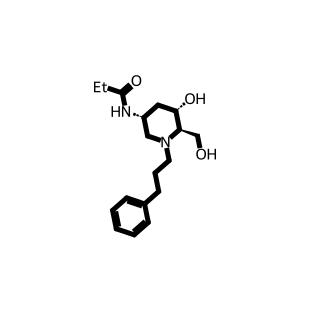 CCC(=O)N[C@@H]1C[C@H](O)[C@@H](CO)N(CCCc2ccccc2)C1